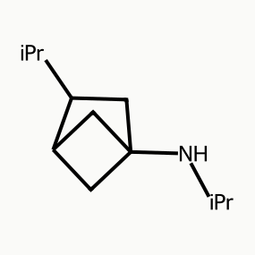 CC(C)NC12CC(C1)C(C(C)C)C2